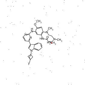 C=CC(=O)Nc1cc(Nc2nccc(-c3cn(C45CC(F)(C4)C5)c4ccccc34)n2)c(OC)cc1N(C)CCN(C)C